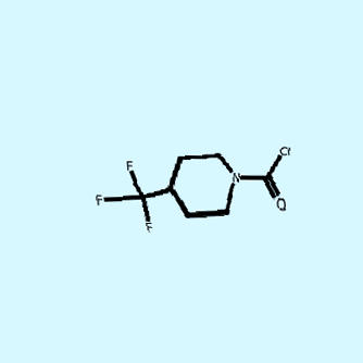 O=C(Cl)N1CCC(C(F)(F)F)CC1